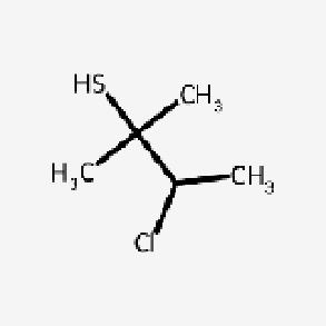 CC(Cl)C(C)(C)S